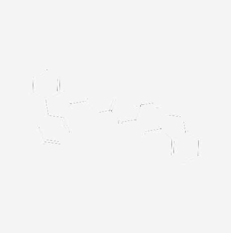 O=C(NC(Cc1csc2ccccc12)C(=O)O)OCC1c2ccccc2-c2ccccc21